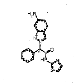 Nc1ccc2cn([C@@H](C(=O)Nc3nccs3)c3ccccc3)nc2c1